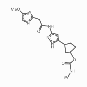 COc1cnc(CC(=O)Nc2cc(C3CCC(OC(=O)NC(C)C)C3)[nH]n2)s1